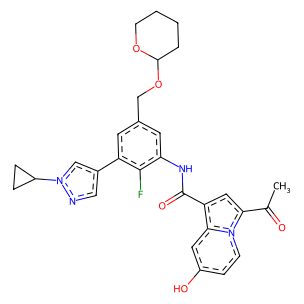 CC(=O)c1cc(C(=O)Nc2cc(COC3CCCCO3)cc(-c3cnn(C4CC4)c3)c2F)c2cc(O)ccn12